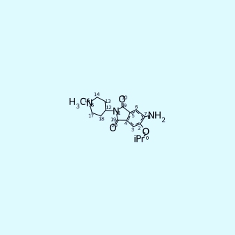 CC(C)Oc1cc2c(cc1N)C(=O)N(C1CCN(C)CC1)C2=O